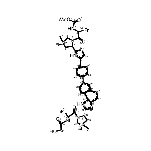 COC(=O)NC(C(=O)N1C[Si](C)(C)CC1c1ncc(-c2ccc(-c3ccc4c(ccc5nc([C@@H]6C[Si](C)(C)CN6C(=O)C(NC(=O)CO)C(C)C)[nH]c54)c3)cc2)[nH]1)C(C)C